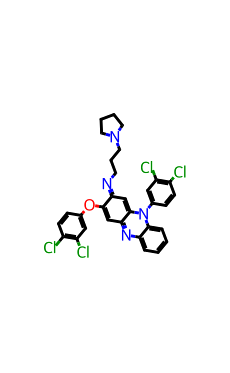 Clc1ccc(Oc2cc3nc4ccccc4n(-c4ccc(Cl)c(Cl)c4)c-3cc2=NCCCN2CCCC2)cc1Cl